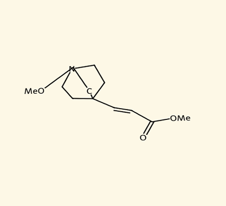 COC(=O)C=CC12CCN(CC1)C(OC)C2